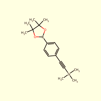 CC1(C)OB(c2ccc(C#C[Si](C)(C)C)cc2)OC1(C)C